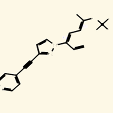 C=C/C(=C\C=C(/C)OC(F)(F)F)n1ccc(C#Cc2ccncc2)n1